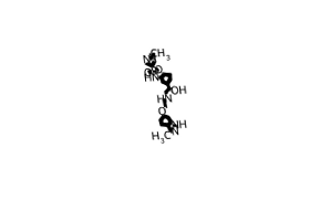 Cc1n[nH]c2cc(OCCNC[C@H](O)c3cccc(NS(=O)(=O)c4cnn(C)c4)c3)ccc12